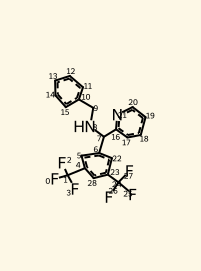 FC(F)(F)c1cc(C(NCc2ccccc2)c2ccccn2)cc(C(F)(F)F)c1